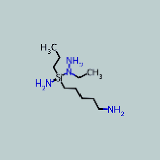 CCC[Si](N)(CCCCCN)N(N)CC